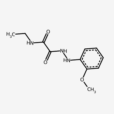 CCNC(=O)C(=O)NNc1ccccc1OC